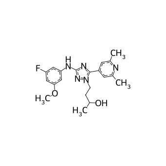 COc1cc(F)cc(Nc2nc(-c3cc(C)nc(C)c3)n(CCC(C)O)n2)c1